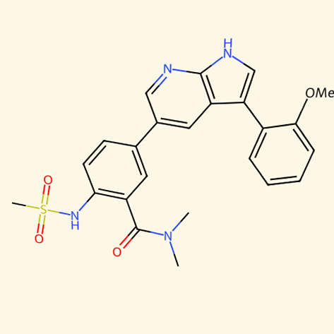 COc1ccccc1-c1c[nH]c2ncc(-c3ccc(NS(C)(=O)=O)c(C(=O)N(C)C)c3)cc12